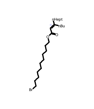 CCCCCCC/C(=C/C(=O)OCCCCCCCCCCCBr)CCCC